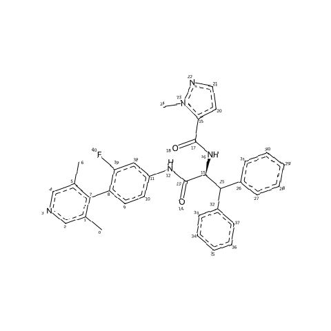 Cc1cncc(C)c1-c1ccc(NC(=O)[C@@H](NC(=O)c2ccnn2C)C(c2ccccc2)c2ccccc2)cc1F